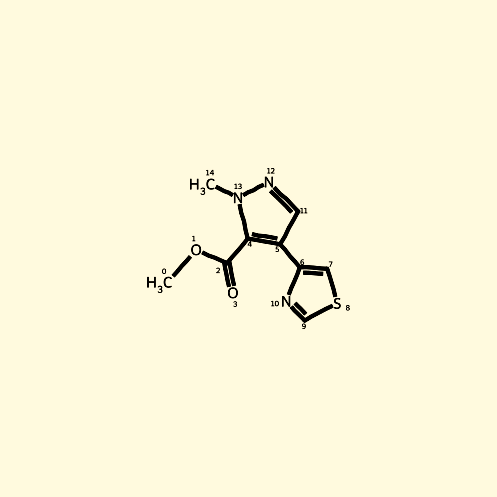 COC(=O)c1c(-c2cscn2)cnn1C